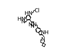 ClCCNc1cc(-c2cn(Cc3ccc4cc(CN5CCC6(CCC6)C5)[nH]c4c3)nn2)c2cn[nH]c2c1